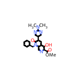 COC(=O)c1ncc2c(cc(-c3cnc(N(C)C)nc3)c(=O)n2Cc2ccccc2)c1O